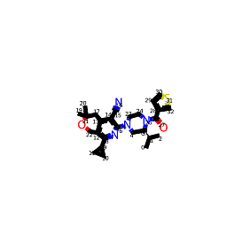 CC(C)[C@@H]1CN(c2nc(C3CC3)c3c(c2C#N)CC(C)(C)OC3)CCN1C(=O)c1ccsc1